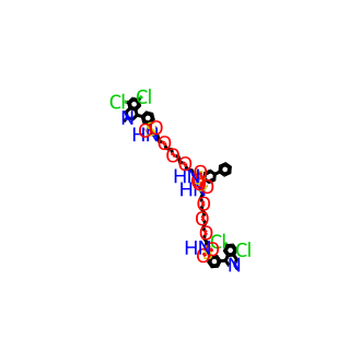 CN1Cc2c(Cl)cc(Cl)cc2C(c2cccc(S(=O)(=O)NCCOCCOCCOCCNS(=O)(=O)C3(S(=O)(=O)NCCOCCOCCOCCNS(=O)(=O)c4cccc(C5CN(C)Cc6c(Cl)cc(Cl)cc65)c4)C=CC(c4ccccc4)C=C3)c2)C1